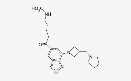 O=C(O)NCCCCC(=O)c1cc(N2CC(CN3CCCC3)C2)c2nonc2c1